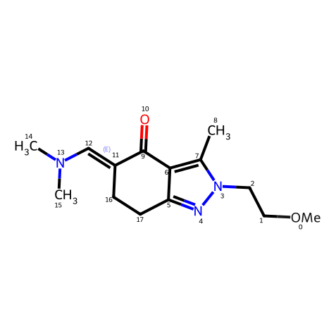 COCCn1nc2c(c1C)C(=O)/C(=C/N(C)C)CC2